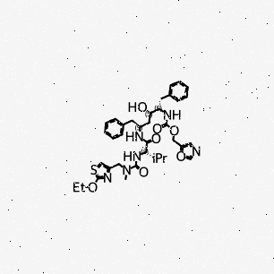 CCOc1nc(CN(C)C(=O)N[C@H](C(=O)N[C@@H](Cc2ccccc2)C[C@H](O)[C@H](Cc2ccccc2)NC(=O)OCc2cnco2)C(C)C)cs1